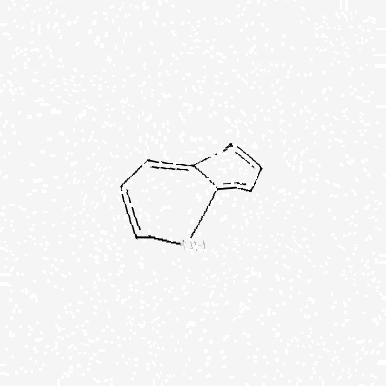 [c]1ccc2cccc-2[nH]1